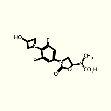 CN(C(=O)O)[C@@H]1CN(c2cc(F)c(N3CC(O)C3)c(F)c2)C(=O)O1